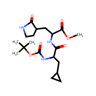 COC(=O)C(CC1CCNC1=O)NC(=O)C(CC1CC1)NC(=O)OC(C)(C)C